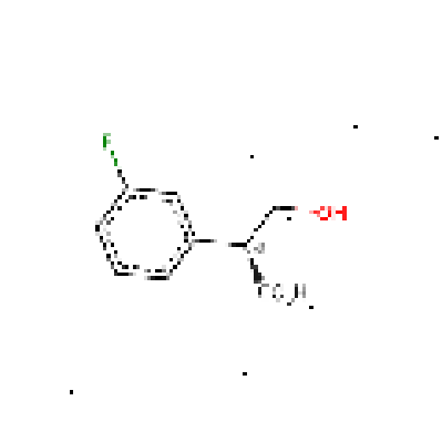 O=C(O)[C@H](CO)c1cccc(F)c1